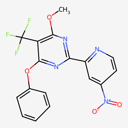 COc1nc(-c2cc([N+](=O)[O-])ccn2)nc(Oc2ccccc2)c1C(F)(F)F